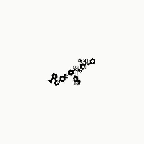 O=C(NS(=O)(=O)c1cnc(NCC2CCCCC2)c([N+](=O)[O-])c1)c1ccc(N2CC3(CCC(N4CCC[C@@H]4c4ccccc4C4CC4)CC3)C2)cc1Oc1cnc2[nH]ccc2c1